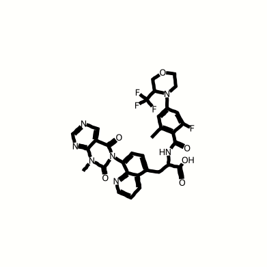 Cc1cc(N2CCOCC2C(F)(F)F)cc(F)c1C(=O)NC(Cc1ccc(-n2c(=O)c3cncnc3n(C)c2=O)c2ncccc12)C(=O)O